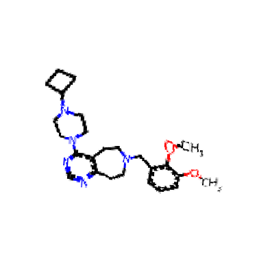 COc1cccc(CN2CCc3ncnc(N4CCN(C5CCC5)CC4)c3CC2)c1OC